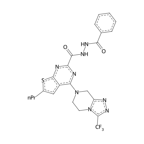 CCCc1cc2c(N3CCn4c(nnc4C(F)(F)F)C3)nc(C(=O)NNC(=O)c3ccccc3)nc2s1